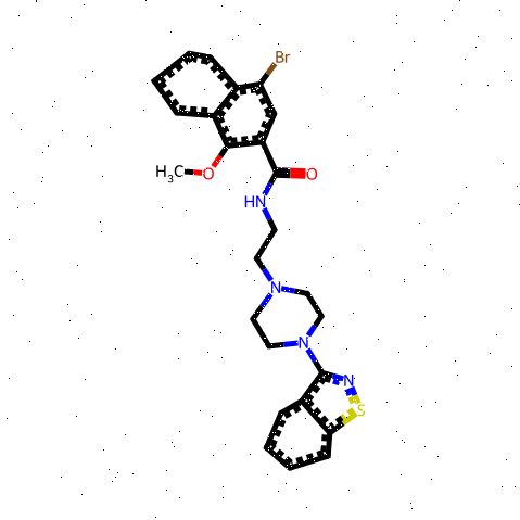 COc1c(C(=O)NCCN2CCN(c3nsc4ccccc34)CC2)cc(Br)c2ccccc12